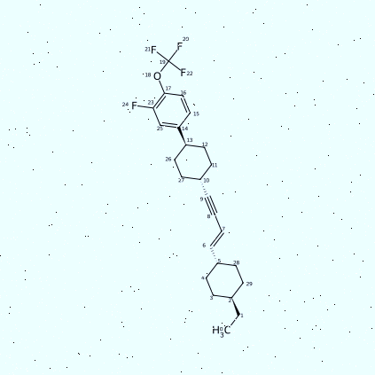 CC[C@H]1CC[C@H](C=CC#C[C@H]2CC[C@H](c3ccc(OC(F)(F)F)c(F)c3)CC2)CC1